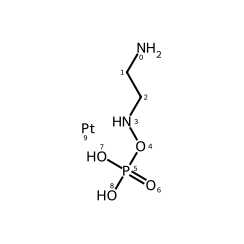 NCCNOP(=O)(O)O.[Pt]